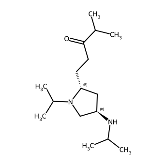 CC(C)N[C@@H]1C[C@@H](CCC(=O)C(C)C)N(C(C)C)C1